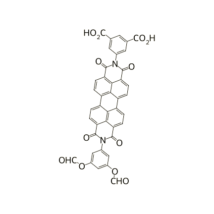 O=COc1cc(OC=O)cc(N2C(=O)c3ccc4c5ccc6c7c(ccc(c8ccc(c3c48)C2=O)c75)C(=O)N(c2cc(C(=O)O)cc(C(=O)O)c2)C6=O)c1